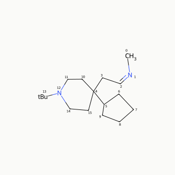 C/N=C\CC1(C2CCCC2)CCN(C(C)(C)C)CC1